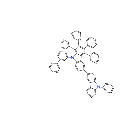 c1ccc(-c2cccc(-n3c4ccc(-c5ccc6c(c5)c5ccccc5n6-c5ccccc5)cc4c4c(-c5ccccc5)c(-c5ccccc5)c(-c5ccccc5)c(-c5ccccc5)c43)c2)cc1